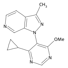 COc1ncnc(C2CC2)c1-n1nc(C)c2ccncc21